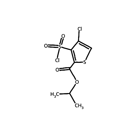 CC(C)OC(=O)c1scc(Cl)c1S(=O)(=O)Cl